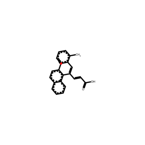 Cc1ccccc1/C=C(/C=C/C(=O)O)c1c(C=O)ccc2ccccc12